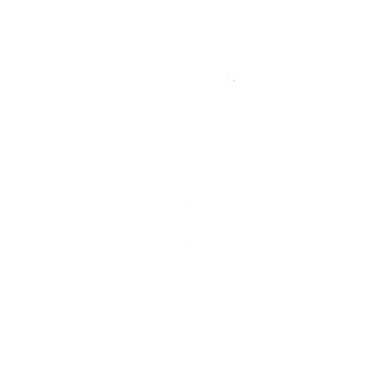 CCCCCCCC(OOCCCCCCCCCBr)O[Si](C)(C)CCCCCC